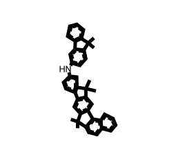 CC1(C)c2ccccc2-c2cc(Nc3ccc4c(c3)C(C)(C)c3cc5c(cc3-4)C(C)(C)c3ccc4ccccc4c3-5)ccc21